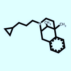 CC1C2Cc3ccccc3C1(C)CCN2CCCC1CC1